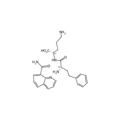 NC(=O)c1cccc2cccnc12.NCCC[C@H](NC(=O)[C@@H](N)CCc1ccccc1)C(=O)O